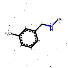 CCCNCc1cccc(C(F)(F)F)c1